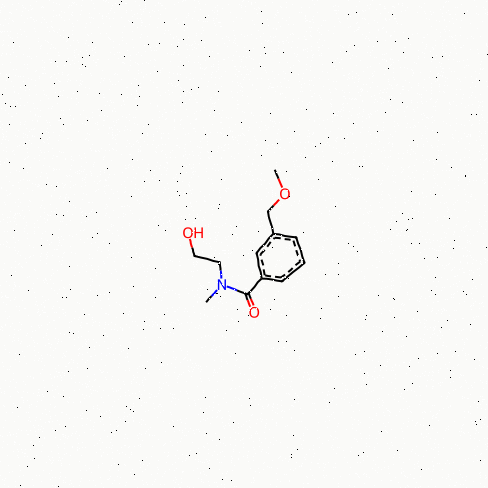 COCc1cccc(C(=O)N(C)CCO)c1